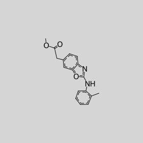 COC(=O)Cc1ccc2nc(Nc3ccccc3C)oc2c1